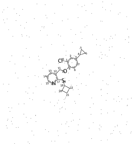 Clc1cc(C2CC2)ccc1OCc1cccnc1SC1CCC1